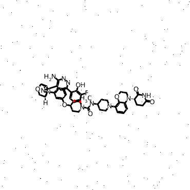 CN(C(=O)N1CCC(Oc2cccc(N3CC4CN(c5cc(-c6cccc(F)c6O)nnc5N)C[C@H]3CO4)c2)CC1)C1CCN(c2cccc3c2OCCN3[C@H]2CCC(=O)NC2=O)CC1